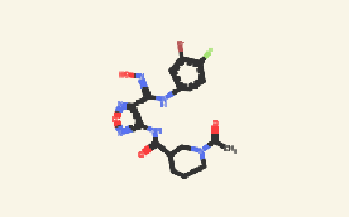 CC(=O)N1CCCC(C(=O)Nc2nonc2/C(=N\O)Nc2ccc(F)c(Br)c2)C1